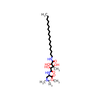 CCCCCCCCCCCCCCCCCCNC(=O)C(O)C(C)(O)C(O)C(=O)NC(CN(C)C)C(=O)OC